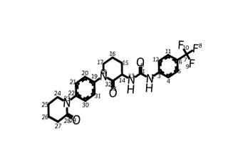 O=C(Nc1ccc(C(F)(F)F)cc1)NC1CCCN(c2ccc(N3CCCCC3=O)cc2)C1=O